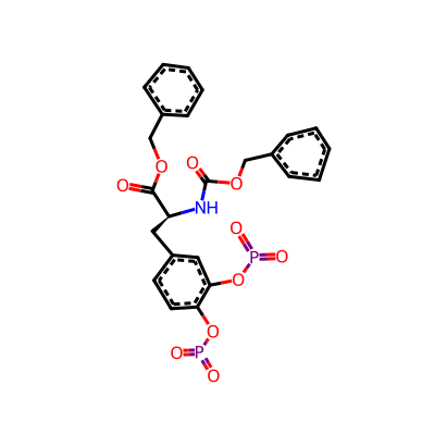 O=C(N[C@@H](Cc1ccc(OP(=O)=O)c(OP(=O)=O)c1)C(=O)OCc1ccccc1)OCc1ccccc1